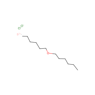 CCCCCCOCCCCCC.[B+2].[Cl-].[Cl-]